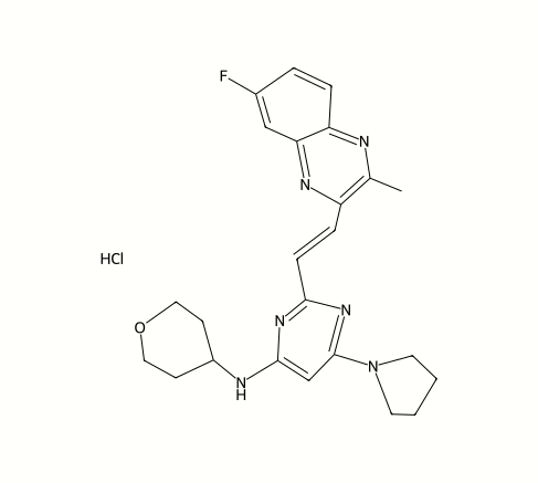 Cc1nc2ccc(F)cc2nc1C=Cc1nc(NC2CCOCC2)cc(N2CCCC2)n1.Cl